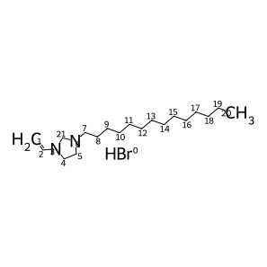 Br.C=CN1CCN(CCCCCCCCCCCCCC)C1